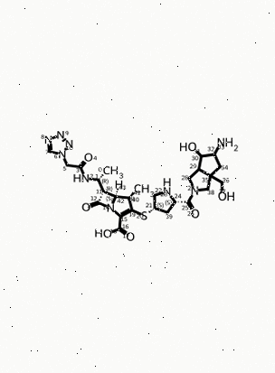 C[C@@H](NC(=O)Cn1cnnn1)[C@H]1C(=O)N2C(C(=O)O)=C(S[C@@H]3CN[C@H](C(=O)N4CC5C(O)C(N)CC5(CO)C4)C3)[C@H](C)[C@H]12